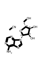 CC#N.Nc1ncnc2c1ncn2[C@@H]1O[C@H](CO)[C@@H](O)[C@H]1O